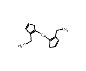 CCC1=[C]([Ca][C]2=C(CC)C=CC2)CC=C1